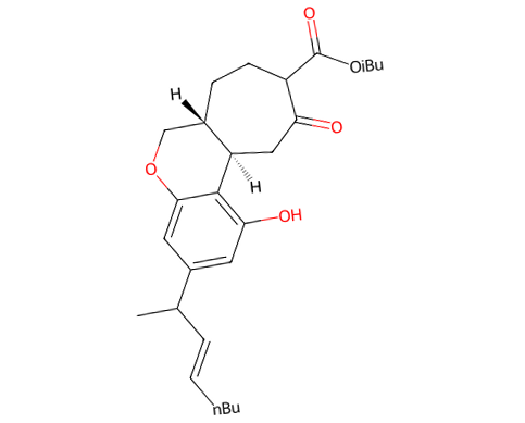 CCCCC=CC(C)c1cc(O)c2c(c1)OC[C@@H]1CCC(C(=O)OCC(C)C)C(=O)C[C@@H]21